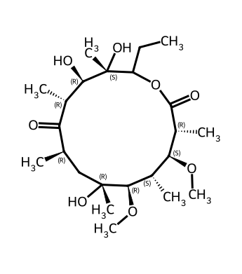 CCC1OC(=O)[C@H](C)[C@@H](OC)[C@H](C)[C@@H](OC)[C@](C)(O)C[C@@H](C)C(=O)[C@H](C)[C@@H](O)[C@]1(C)O